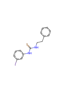 S=C(NCCc1ccccc1)Nc1cccc(I)c1